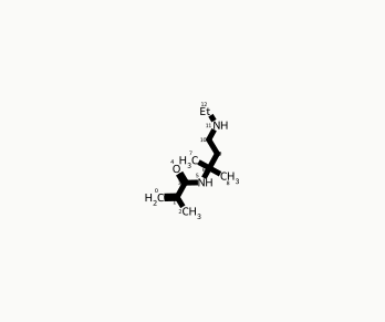 C=C(C)C(=O)NC(C)(C)CCNCC